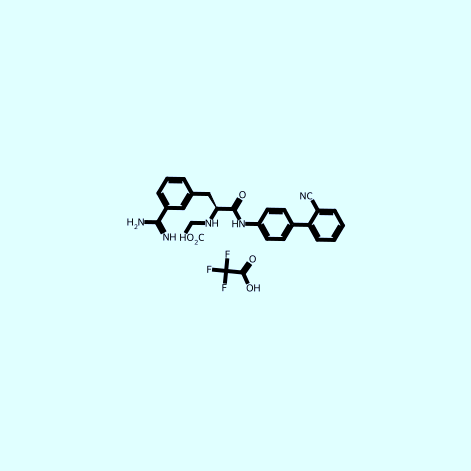 N#Cc1ccccc1-c1ccc(NC(=O)[C@H](Cc2cccc(C(=N)N)c2)NCC(=O)O)cc1.O=C(O)C(F)(F)F